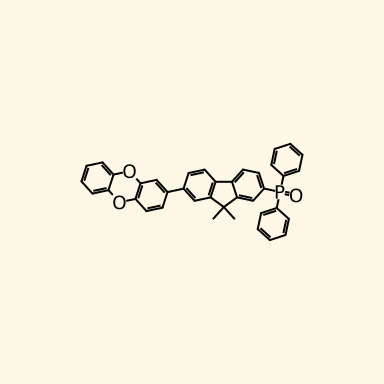 CC1(C)c2cc(-c3ccc4c(c3)Oc3ccccc3O4)ccc2-c2ccc(P(=O)(c3ccccc3)c3ccccc3)cc21